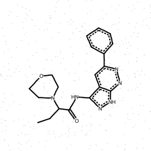 CCC(C(=O)Nc1n[nH]c2nnc(-c3ccccc3)cc12)N1CCOCC1